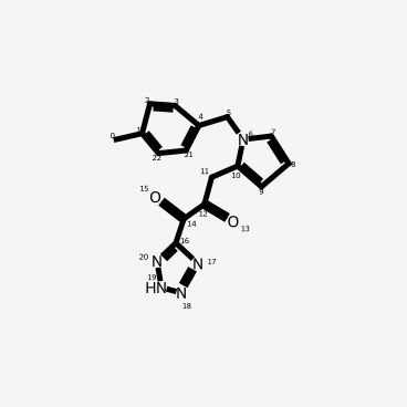 Cc1ccc(Cn2cccc2CC(=O)C(=O)c2nn[nH]n2)cc1